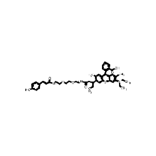 CCC(CC(=O)NCCOCCOCCNC(=O)/C=C/c1ccc(O)cc1)c1cc2oc3cc(=[N+](CC)CC)c(C)cc-3c(-c3ccccc3C(=O)O)c2cc1C